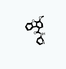 COc1ccc(C(=O)Nc2cccnc2)c2c1oc1ccccc12